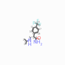 CC(C)NC[C@@H](C(N)=O)c1ccc(C(F)(F)F)cc1